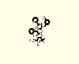 CC(C)[C@H](NC(=O)[C@@H](NC(=O)[C@@H](Cc1cccc(Cl)c1)NC(=O)c1ccccn1)c1ccccc1)C(=O)C(F)(F)F